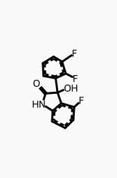 O=C1Nc2cccc(F)c2C1(O)c1cccc(F)c1F